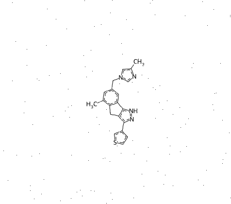 Cc1cn(Cc2cc(C)c3c(c2)-c2[nH]nc(-c4ccsc4)c2C3)cn1